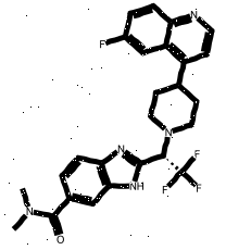 CN(C)C(=O)c1ccc2nc([C@H](N3CCC(c4ccnc5ccc(F)cc45)CC3)C(F)(F)F)[nH]c2c1